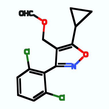 O=COCc1c(-c2c(Cl)cccc2Cl)noc1C1CC1